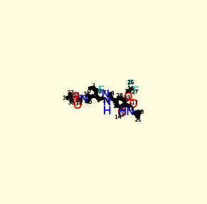 C/C=C(F)\C(=C/c1ncc(-c2cc(OC)c(C(=O)NC3CC3)c(OCC(F)F)c2)[nH]1)C1CN(C(=O)OC(C)(C)C)C1